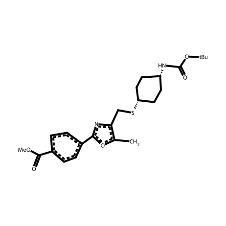 COC(=O)c1ccc(-c2nc(CS[C@H]3CC[C@@H](NC(=O)OC(C)(C)C)CC3)c(C)o2)cc1